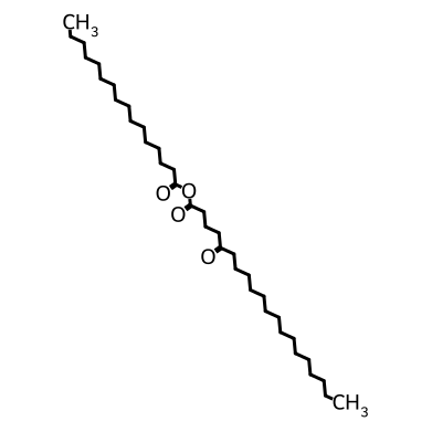 CCCCCCCCCCCCCCCC(=O)CCCC(=O)OC(=O)CCCCCCCCCCCCCCC